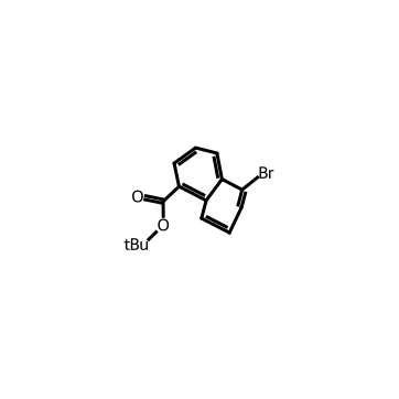 CC(C)(C)OC(=O)c1cccc2c(Br)cccc12